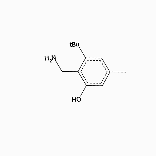 Cc1cc(O)c(CN)c(C(C)(C)C)c1